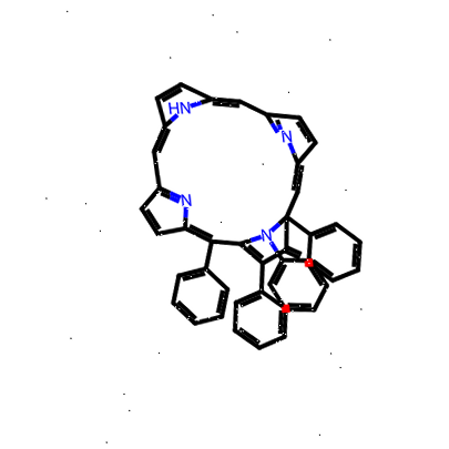 C=C1C(c2ccccc2)=C2C(c3ccccc3)=C3C=CC(=N3)C=c3ccc([nH]3)=CC3=NC(=CC1(c1ccccc1)N2c1ccccc1)C=C3